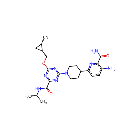 C[C@H](NC(=O)c1nc(OC[C@H]2C[C@H]2C#N)nc(N2CCC(c3ccc(N)c(C(N)=O)n3)CC2)n1)C(F)(F)F